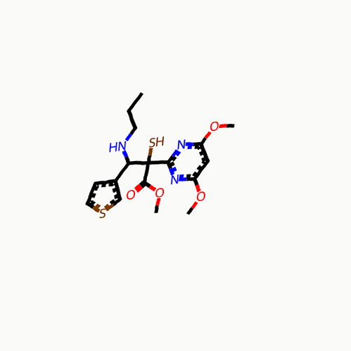 CCCNC(c1ccsc1)C(S)(C(=O)OC)c1nc(OC)cc(OC)n1